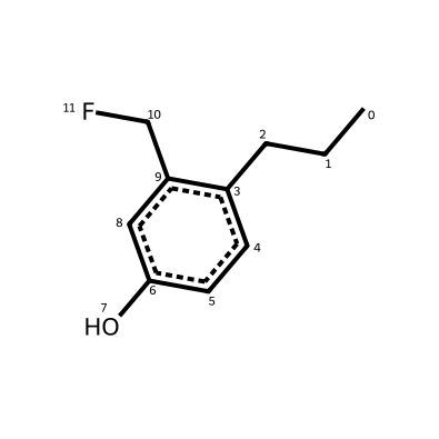 CCCc1ccc(O)cc1CF